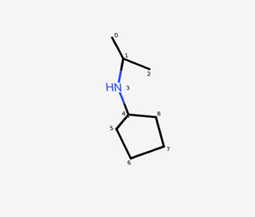 CC(C)N[C]1CCCC1